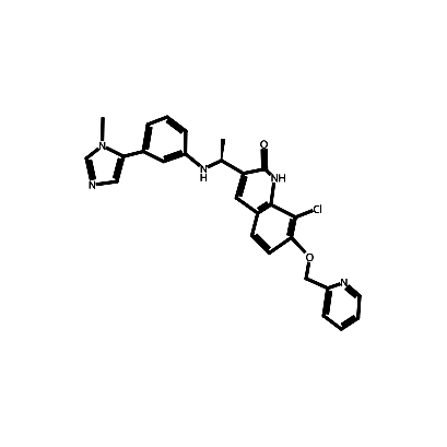 C[C@H](Nc1cccc(-c2cncn2C)c1)c1cc2ccc(OCc3ccccn3)c(Cl)c2[nH]c1=O